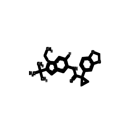 CCn1c(C(C)(C)C)cc2cc(NC(=O)C3(c4ccc5c(c4)OCO5)CC3)c(F)cc21